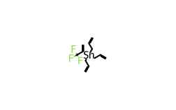 C=C[CH2][Sn]([CH2]C=C)([CH2]C=C)[C](=C)C(F)(F)F